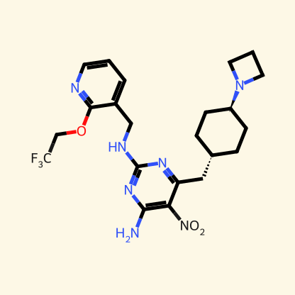 Nc1nc(NCc2cccnc2OCC(F)(F)F)nc(C[C@H]2CC[C@H](N3CCC3)CC2)c1[N+](=O)[O-]